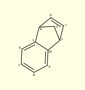 [C]1=CC2CC1c1ccccc12